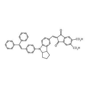 O=C(O)c1cc2c(cc1C(=O)O)C(=O)C(=Cc1ccc3c(c1)C1CCCC1N3c1ccc(C=C(c3ccccc3)c3ccccc3)cc1)C2=O